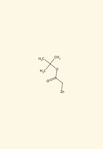 CC(C)(C)OC(=O)[CH2][Zn]